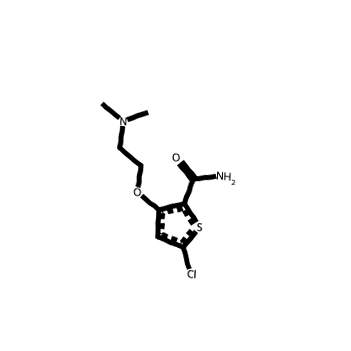 CN(C)CCOc1cc(Cl)sc1C(N)=O